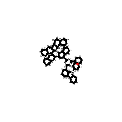 c1ccc(-c2nc(-c3cc(-c4ccc5ccccc5c4)c(-n4c5cc6ccccc6cc5c5ccc6ccccc6c54)c4ccccc34)nc(-c3cccc4c5ccccc5n(-c5ccccc5)c34)n2)cc1